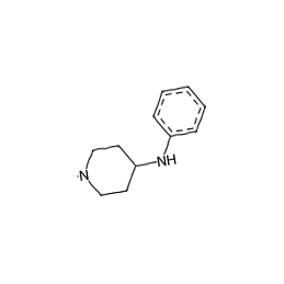 c1ccc(NC2CC[N]CC2)cc1